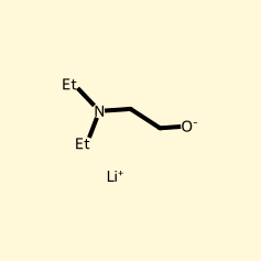 CCN(CC)CC[O-].[Li+]